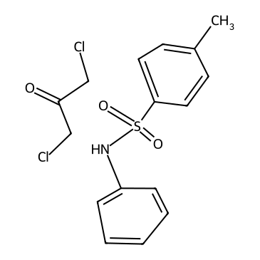 Cc1ccc(S(=O)(=O)Nc2ccccc2)cc1.O=C(CCl)CCl